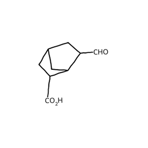 O=CC1CC2CC(C(=O)O)C1C2